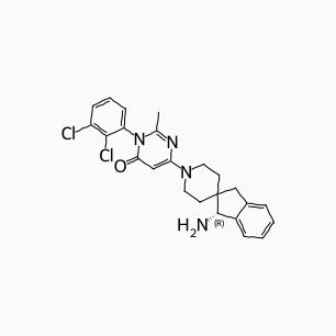 Cc1nc(N2CCC3(CC2)Cc2ccccc2[C@@H]3N)cc(=O)n1-c1cccc(Cl)c1Cl